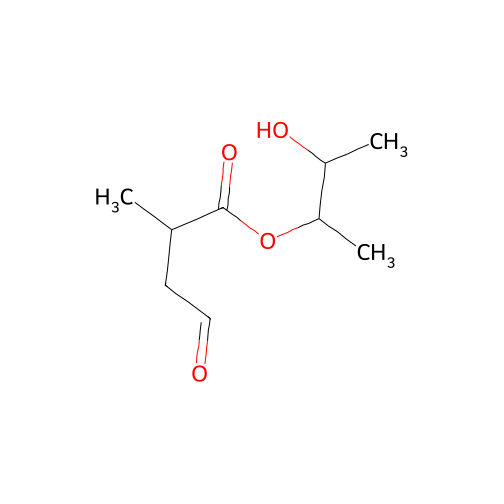 CC(CC=O)C(=O)OC(C)C(C)O